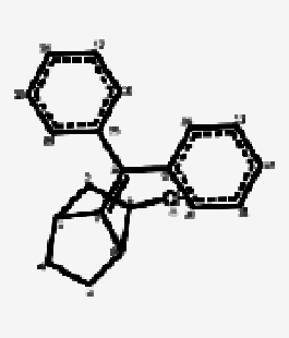 OC1CC2CCC1C2=C(c1ccccc1)c1ccccc1